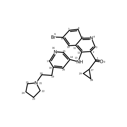 O=C(c1cnc2ccc(Br)cc2c1Nc1cncc(CCN2CCCC2)c1)C1CC1